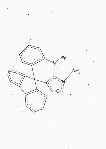 CC(C)N1c2ccccc2C2(c3ccccc3-c3ccccc32)c2ccc[n+](N)c21